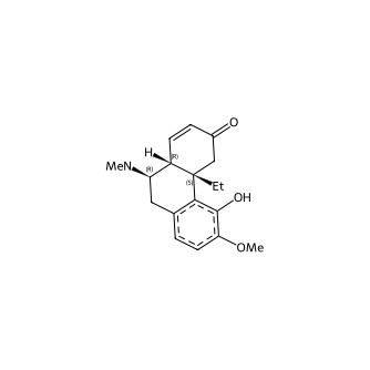 CC[C@]12CC(=O)C=C[C@H]1[C@H](NC)Cc1ccc(OC)c(O)c12